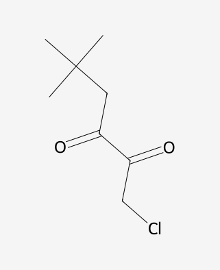 CC(C)(C)CC(=O)C(=O)CCl